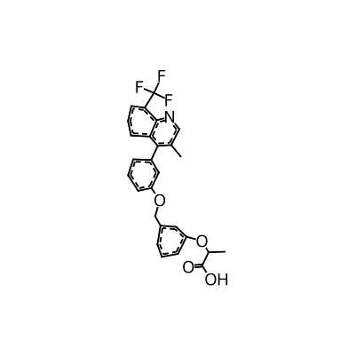 Cc1cnc2c(C(F)(F)F)cccc2c1-c1cccc(OCc2cccc(OC(C)C(=O)O)c2)c1